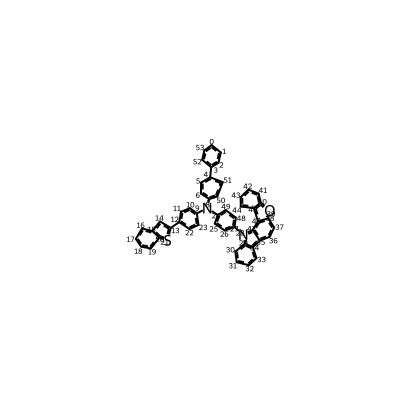 c1ccc(-c2ccc(N(c3ccc(-c4cc5ccccc5s4)cc3)c3ccc(-n4c5ccccc5c5ccc6oc7ccccc7c6c54)cc3)cc2)cc1